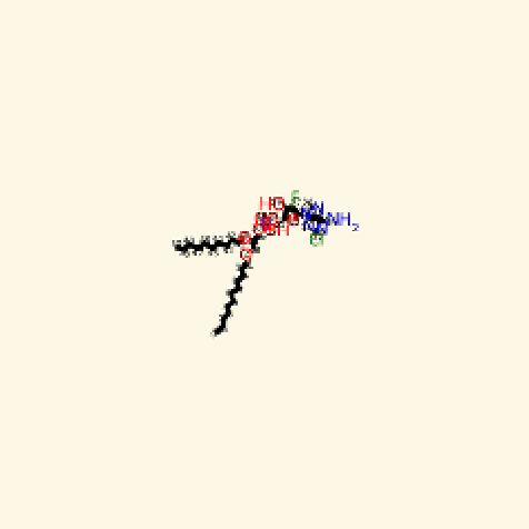 CCCCCCCCCCCCOCC(COP(=O)(O)OC[C@H]1O[C@@H](n2cnc3c(N)nc(Cl)nc32)C(F)[C@H]1O)OCCCCCCCCCC